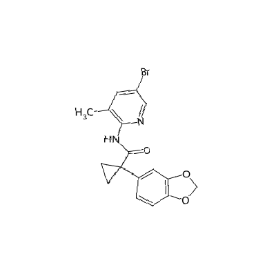 Cc1cc(Br)cnc1NC(=O)C1(c2ccc3c(c2)OCO3)CC1